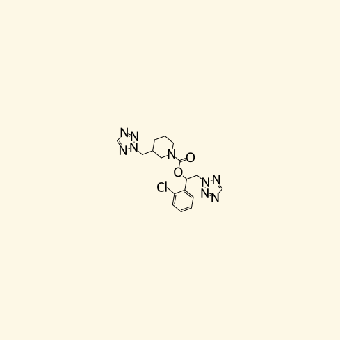 O=C(OC(Cn1ncnn1)c1ccccc1Cl)N1CCCC(Cn2ncnn2)C1